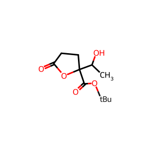 CC(O)C1(C(=O)OC(C)(C)C)CCC(=O)O1